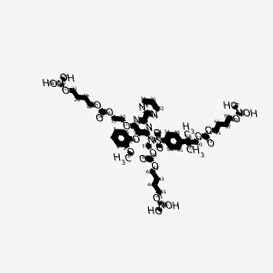 COc1ccccc1Oc1c(OCCOC(=O)OCCCCON(O)O)nc(-c2ncccn2)nc1N(COC(=O)OCCCCON(O)O)S(=O)(=O)c1ccc(C(C)(C)COC(=O)OCCCCON(O)O)cc1